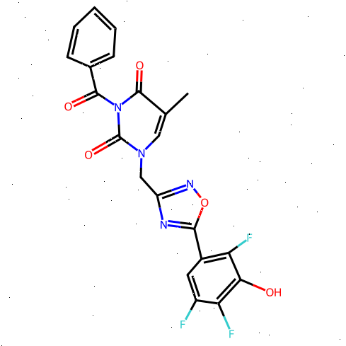 Cc1cn(Cc2noc(-c3cc(F)c(F)c(O)c3F)n2)c(=O)n(C(=O)c2ccccc2)c1=O